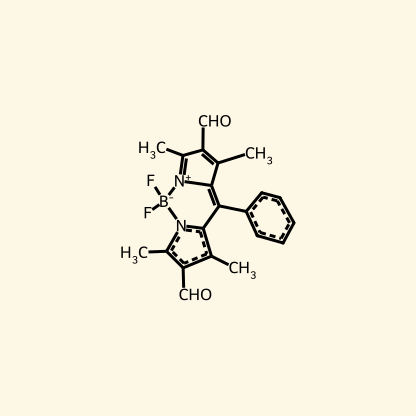 CC1=C(C=O)C(C)=[N+]2C1=C(c1ccccc1)c1c(C)c(C=O)c(C)n1[B-]2(F)F